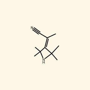 CC(C#N)=C1C(C)(C)NC1(C)C